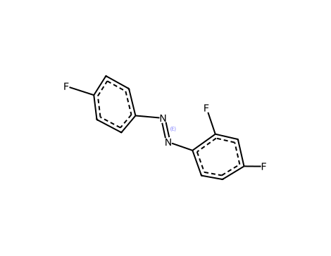 Fc1ccc(/N=N/c2ccc(F)cc2F)cc1